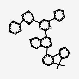 CC1(C)c2ccccc2-c2c(-c3ccc(-c4nc(-c5ccccc5)cc(-c5cccc(-c6cccnc6)c5)n4)c4ccccc34)cccc21